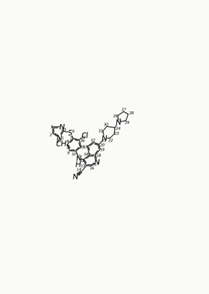 Cn1ccnc1Sc1ccc(Nc2c(C#N)cnc3cc(N4CCC(N5CCCC5)CC4)ccc23)cc1Cl